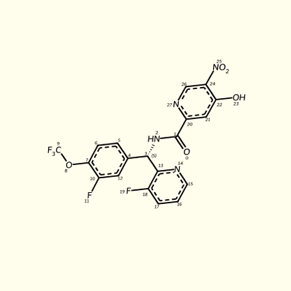 O=C(N[C@@H](c1ccc(OC(F)(F)F)c(F)c1)c1ncccc1F)c1cc(O)c([N+](=O)[O-])cn1